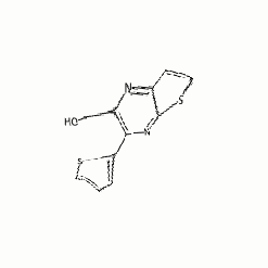 Oc1nc2ccsc2nc1-c1cccs1